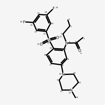 CCCN(C(C)=O)c1cc(N2CCN(C)CC2)ccc1S(=O)(=O)c1cc(F)cc(F)c1